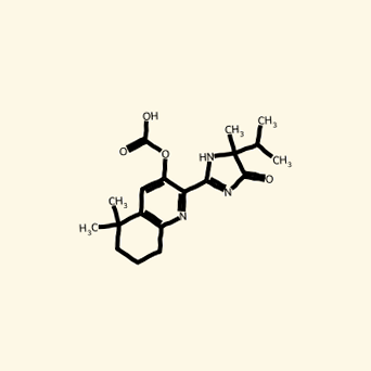 CC(C)C1(C)NC(c2nc3c(cc2OC(=O)O)C(C)(C)CCC3)=NC1=O